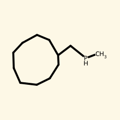 CPCC1CCCCCCCCC1